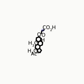 CC(=O)[C@H]1CCC2C3CC[C@@H]4C[C@H](OC(=O)/C=C/C(=O)O)CC[C@]4(C)C3CC[C@@]21C